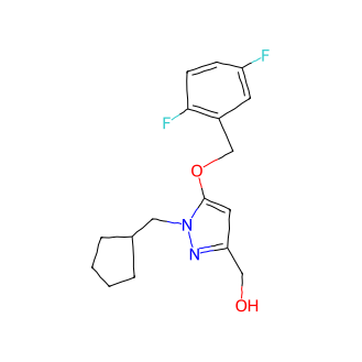 OCc1cc(OCc2cc(F)ccc2F)n(CC2CCCC2)n1